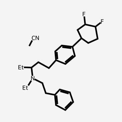 CC#N.CCC(CCc1ccc(C2CCC(F)C(F)C2)cc1)N(CC)CCc1ccccc1